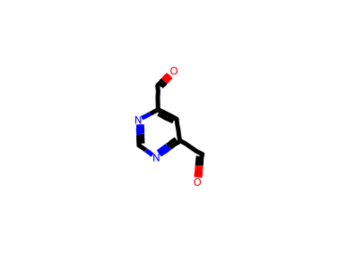 O=Cc1cc(C=O)ncn1